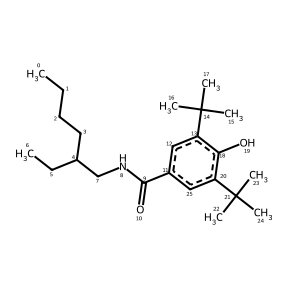 CCCCC(CC)CNC(=O)c1cc(C(C)(C)C)c(O)c(C(C)(C)C)c1